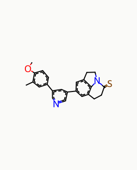 COc1ccc(-c2cncc(-c3cc4c5c(c3)CCN5C(=S)CC4)c2)cc1C